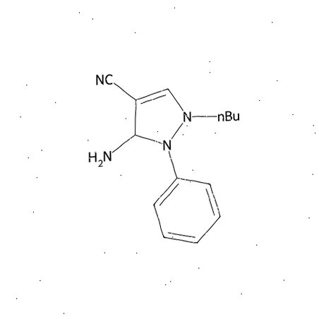 CCCCN1C=C(C#N)C(N)N1c1ccccc1